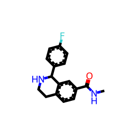 CNC(=O)c1ccc2c(c1)C(c1ccc(F)cc1)NCC2